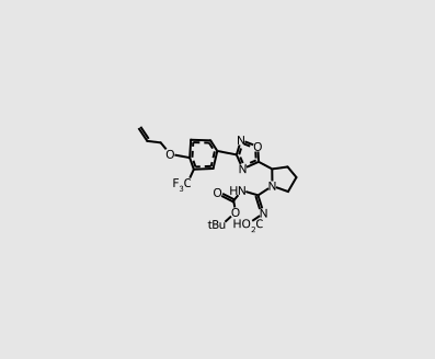 C=CCOc1ccc(-c2noc(C3CCCN3C(=NC(=O)O)NC(=O)OC(C)(C)C)n2)cc1C(F)(F)F